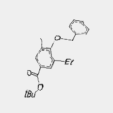 CCc1cc(C(=O)OC(C)(C)C)cc(C)c1OCc1ccccc1